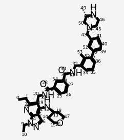 CCc1nc2c(cnn2CC)c(NC2CCOCC2)c1CNC(=O)c1cccc(C(=O)NCc2cccc(-c3cccc(CN4CCN[C@@H](C)C4)c3)c2C)c1